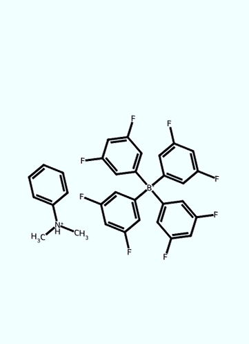 C[NH+](C)c1ccccc1.Fc1cc(F)cc([B-](c2cc(F)cc(F)c2)(c2cc(F)cc(F)c2)c2cc(F)cc(F)c2)c1